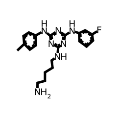 Cc1ccc(Nc2nc(NCCCCCN)nc(Nc3cccc(F)c3)n2)cc1